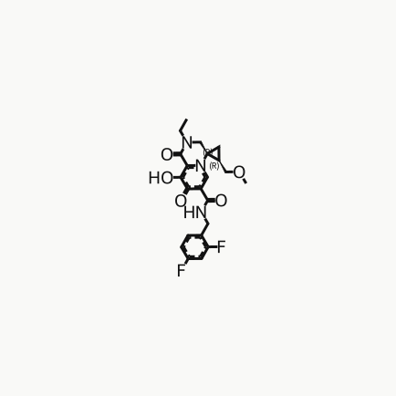 CCN1C[C@]2(C[C@H]2COC)n2cc(C(=O)NCc3ccc(F)cc3F)c(=O)c(O)c2C1=O